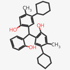 Cc1cc(O)c(C(c2ccccc2O)c2cc(C3CCCCC3)c(C)cc2O)cc1C1CCCCC1